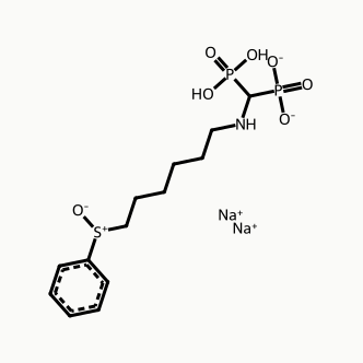 O=P([O-])([O-])C(NCCCCCC[S+]([O-])c1ccccc1)P(=O)(O)O.[Na+].[Na+]